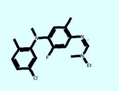 CCN(C)/C=N\c1cc(F)c(N(C)c2cc(Cl)ccc2C)cc1C